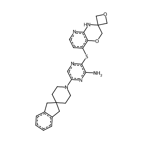 Nc1nc(N2CCC3(CC2)Cc2ccccc2C3)cnc1Sc1ccnc2c1OCC1(COC1)N2